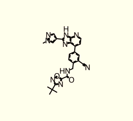 Cn1cc(-c2nc3c(-c4ccc(CNC(=O)c5nc(C(C)(C)C)no5)c(C#N)c4)ccnc3[nH]2)cn1